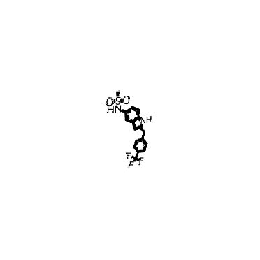 CS(=O)(=O)Nc1ccc2[nH]c(Cc3ccc(C(F)(F)F)cc3)cc2c1